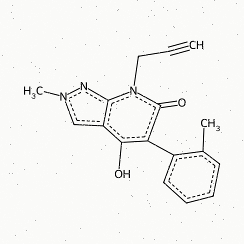 C#CCn1c(=O)c(-c2ccccc2C)c(O)c2cn(C)nc21